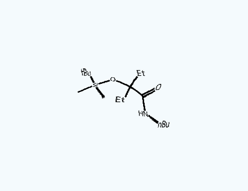 CCCCNC(=O)C(CC)(CC)O[Si](C)(C)C(C)(C)C